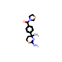 CC1(c2ccc(C(=O)N3CCSC3)cc2)CCSC(N)=N1